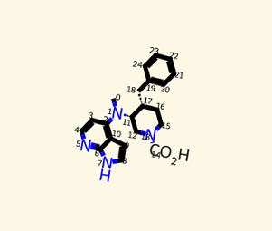 CN(c1ccnc2[nH]ccc12)[C@H]1CN(C(=O)O)CC[C@H]1Cc1ccccc1